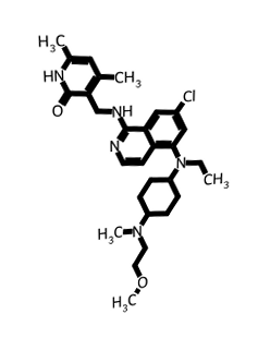 CCN(c1cc(Cl)cc2c(NCc3c(C)cc(C)[nH]c3=O)nccc12)C1CCC(N(C)CCOC)CC1